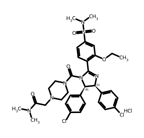 CCOc1cc(S(=O)(=O)N(C)C)ccc1C1=N[C@@H](c2ccc(Cl)cc2)[C@@H](c2ccc(Cl)cc2)N1C(=O)N1CCN(CC(=O)N(C)C)CC1.Cl